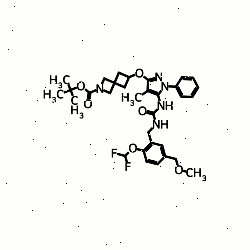 COCc1ccc(OC(F)F)c(CNC(=O)Nc2c(C)c(OC3CC4(C3)CN(C(=O)OC(C)(C)C)C4)nn2-c2ccccc2)c1